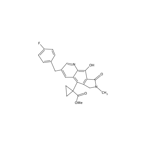 COC(=O)C1(c2c3c(c(O)c4ncc(Cc5ccc(F)cc5)cc24)C(=O)N(C)C3)CC1